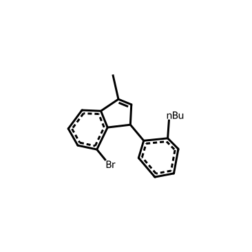 CCCCc1ccccc1C1C=C(C)c2cccc(Br)c21